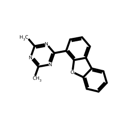 Cc1nc(C)nc(-c2cccc3c2oc2ccccc23)n1